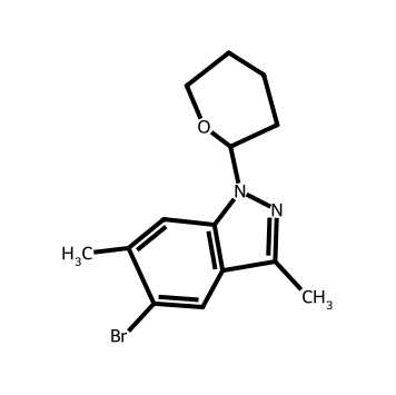 Cc1cc2c(cc1Br)c(C)nn2C1CCCCO1